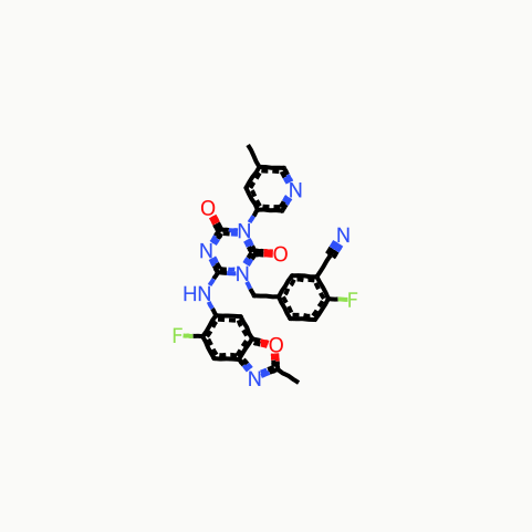 Cc1cncc(-n2c(=O)nc(Nc3cc4oc(C)nc4cc3F)n(Cc3ccc(F)c(C#N)c3)c2=O)c1